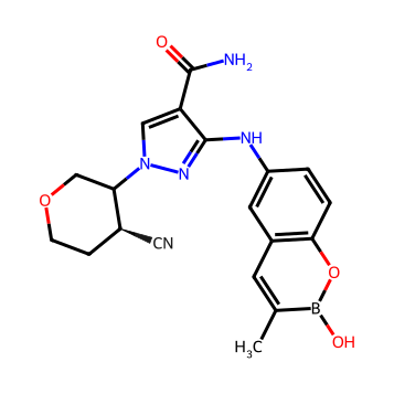 CC1=Cc2cc(Nc3nn(C4COCC[C@@H]4C#N)cc3C(N)=O)ccc2OB1O